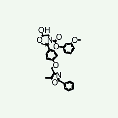 COc1cccc(OC(=O)N(CC(=O)O)[C@H](C)c2ccc(OCc3nc(-c4ccccc4)oc3C)cc2)c1